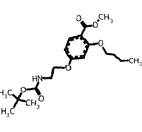 CCCCOc1cc(OCCNC(=O)OC(C)(C)C)ccc1C(=O)OC